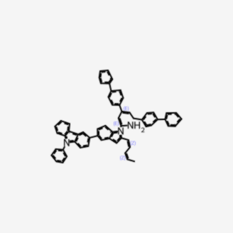 C/C=C\C=C/c1cc2cc(-c3ccc4c(c3)c3ccccc3n4-c3ccccc3)ccc2n1/C(N)=C/C(=C\Cc1ccc(-c2ccccc2)cc1)c1ccc(-c2ccccc2)cc1